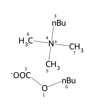 CCCCOC(=O)[O-].CCCC[N+](C)(C)C